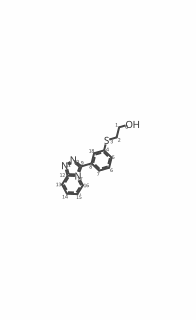 OCCSc1cccc(-c2nnc3cc[c]cn23)c1